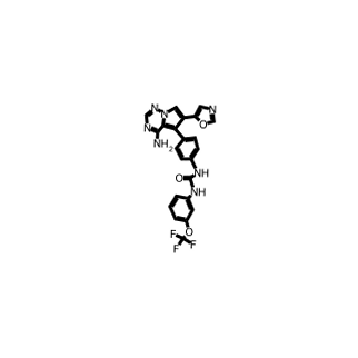 Nc1ncnn2cc(-c3cnco3)c(-c3ccc(NC(=O)Nc4cccc(OC(F)(F)F)c4)cc3)c12